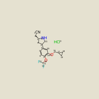 Cl.N#CC[C@@H]1CC(c2ccc(OC(F)F)c(OCC3CC3)c2)CN1